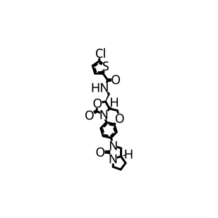 O=C(NC[C@@H]1OC(=O)N2c3ccc(N4C[C@H]5CCCN5C4=O)cc3OC[C@@H]12)c1ccc(Cl)s1